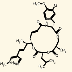 CN/C=C(C=N)/C=C/[C@@H](C)[C@@H]1C/C=C/C(=O)N[C@H](Cc2ccc(OC)c(Cl)c2)C(=O)NC[C@@H](C)C(=O)O[C@@H](CC(C)C)C(=O)O1